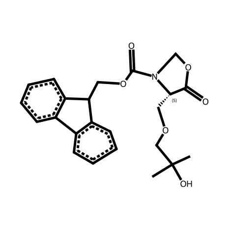 CC(C)(O)COC[C@H]1C(=O)OCN1C(=O)OCC1c2ccccc2-c2ccccc21